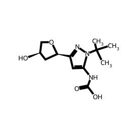 CC(C)(C)n1nc([C@H]2C[C@@H](O)CO2)cc1NC(=O)O